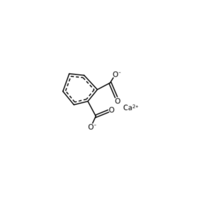 O=C([O-])c1ccccc1C(=O)[O-].[Ca+2]